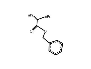 CCCC(CCC)C(=O)OCc1ccccc1